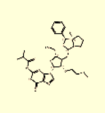 COCCO[C@H]1C(O[P@]2O[C@@H](c3ccccc3)[C@H]3CCCN32)[C@@H](CO)O[C@H]1n1cnc2c(=O)[nH]c(NC(=O)C(C)C)nc21